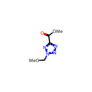 COCn1nnc(C(=O)OC)n1